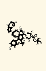 C[C@@H]1CN(c2nc(=O)n3c4c(c(-c5ccc(F)cc5)c(C(F)(F)F)cc24)SC[C@@H](n2ccc4cccnc42)C3)C[C@H](C)N1C(=O)OC(C)(C)C